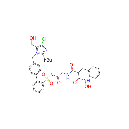 CCCCc1nc(Cl)c(CO)n1Cc1ccc(-c2ccccc2S(=O)(=O)NC(=O)CNC(=O)C(Cc2ccccc2)C(=O)NO)cc1